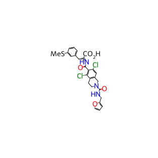 CSc1cccc(C[C@H](NC(=O)c2c(Cl)cc3c(c2Cl)CCN(C(=O)NCc2ccco2)C3)C(=O)O)c1